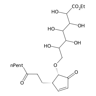 CCCCCC(=O)CC[C@H]1C=CC(=O)[C@H]1OCC(O)C(O)C(O)C(O)C(O)C(=O)OCC